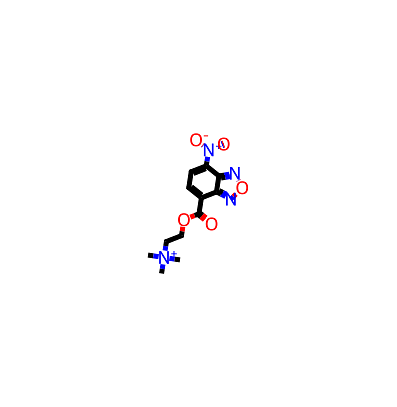 C[N+](C)(C)CCOC(=O)c1ccc([N+](=O)[O-])c2nonc12